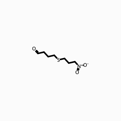 O=CCCCSCCC[N+](=O)[O-]